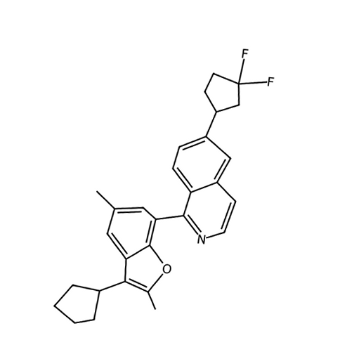 Cc1cc(-c2nccc3cc(C4CCC(F)(F)C4)ccc23)c2oc(C)c(C3CCCC3)c2c1